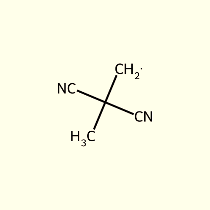 [CH2]C(C)(C#N)C#N